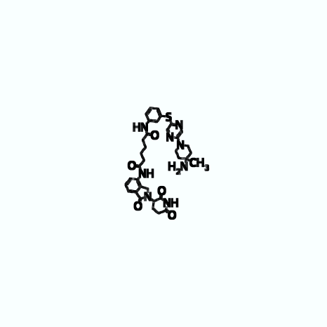 CC1(N)CCN(c2cnc(Sc3cccc(NC(=O)CCCCC(=O)Nc4cccc5c4CN(C4CCC(=O)NC4=O)C5=O)c3)cn2)CC1